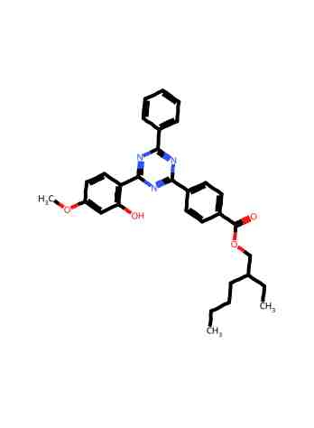 CCCCC(CC)COC(=O)c1ccc(-c2nc(-c3ccccc3)nc(-c3ccc(OC)cc3O)n2)cc1